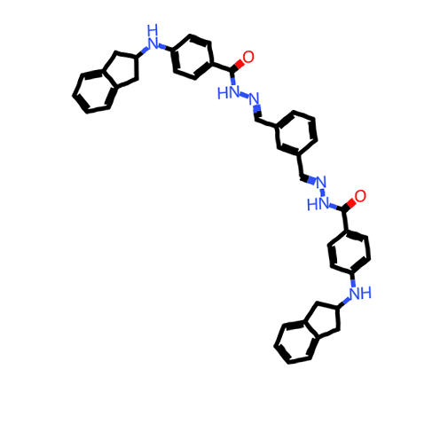 O=C(N/N=C/c1cccc(/C=N/NC(=O)c2ccc(NC3Cc4ccccc4C3)cc2)c1)c1ccc(NC2Cc3ccccc3C2)cc1